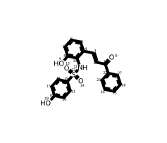 O=C(C=Cc1cccc(O)c1NS(=O)(=O)c1ccc(O)cc1)c1ccccc1